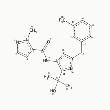 Cn1nccc1C(=O)Nc1sc(Cc2cccc(C(F)(F)F)c2)nc1C(C)(C)O